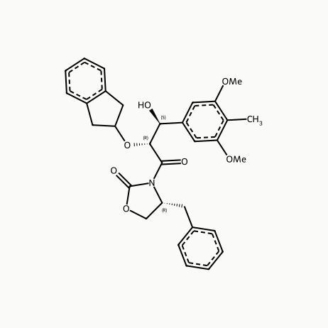 COc1cc([C@H](O)[C@@H](OC2Cc3ccccc3C2)C(=O)N2C(=O)OC[C@H]2Cc2ccccc2)cc(OC)c1C